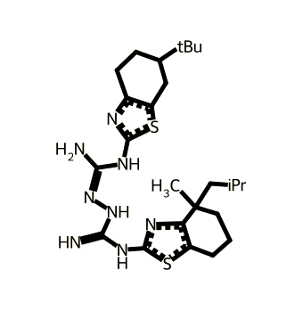 CC(C)CC1(C)CCCc2sc(NC(=N)NN=C(N)Nc3nc4c(s3)CC(C(C)(C)C)CC4)nc21